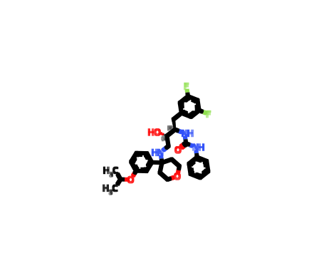 CC(C)Oc1cccc(C2(NC[C@H](O)[C@@H](Cc3cc(F)cc(F)c3)NC(=O)Nc3ccccc3)CCOCC2)c1